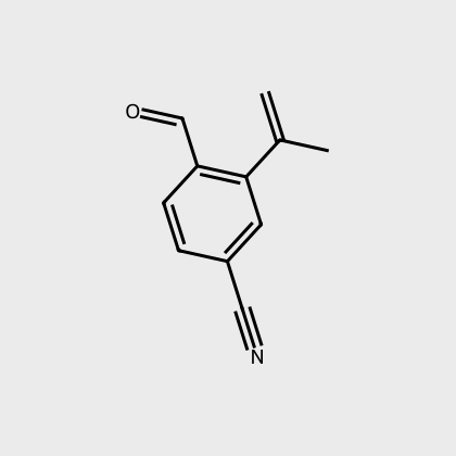 C=C(C)c1cc(C#N)ccc1C=O